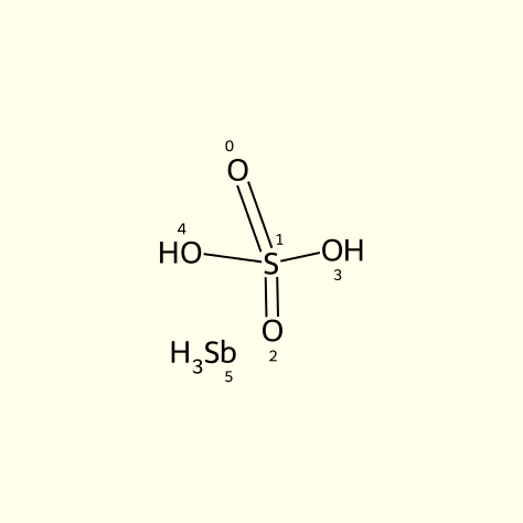 O=S(=O)(O)O.[SbH3]